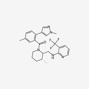 Cc1ccc(-c2cnn(C)c2)c(C(=O)N2CCC[C@@H](C)C2CNc2ncccc2C(F)(F)F)c1